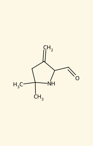 C=C1CC(C)(C)NC1C=O